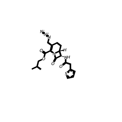 CC(C)COC(=O)C1=C(CN=[N+]=[N-])CC[C@@H]2[C@H](NC(=O)Cc3cccs3)C(=O)N12